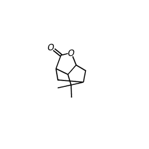 CC1(C)C2CC3OC(=O)C(C2)C31